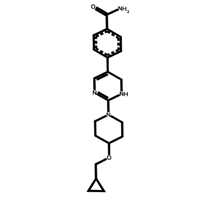 NC(=O)c1ccc(C2=CN=C(N3CCC(OCC4CC4)CC3)NC2)cc1